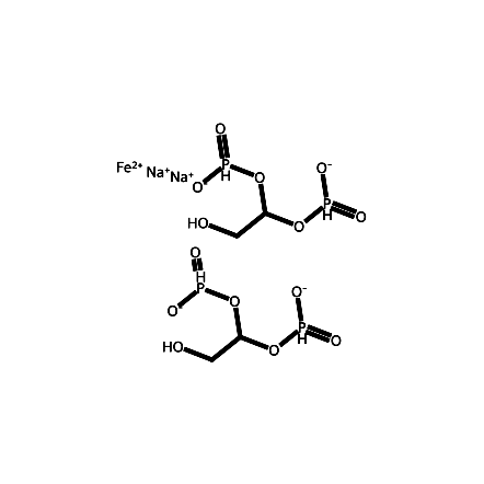 O=[PH]([O-])OC(CO)O[PH](=O)[O-].O=[PH]([O-])OC(CO)O[PH](=O)[O-].[Fe+2].[Na+].[Na+]